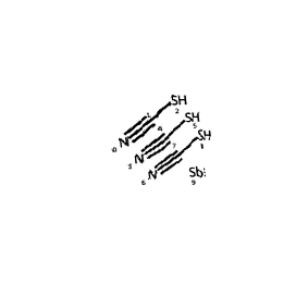 N#CS.N#CS.N#CS.[Sb]